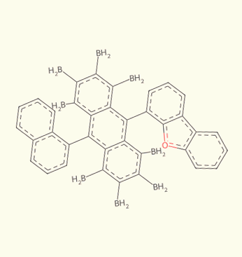 Bc1c(B)c(B)c2c(-c3cccc4c3oc3ccccc34)c3c(B)c(B)c(B)c(B)c3c(-c3cccc4ccccc34)c2c1B